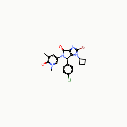 Cc1cc(N2C(=O)c3nc(Br)n(C4CCC4)c3C2c2ccc(Cl)cc2)cn(C)c1=O